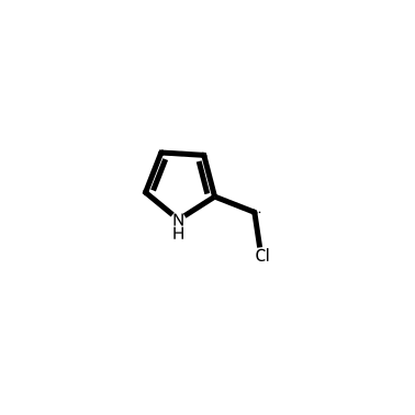 Cl[CH]c1ccc[nH]1